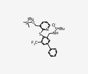 CC(C)(C)[S+]([O-])NCc1cc(-c2ccccc2)cc(C(F)(F)F)c1Sc1ncccc1CO[Si](C)(C)C(C)(C)C